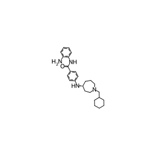 Nc1ccccc1NC(=O)c1ccc(N[C@H]2CCCN(CC3CCCCC3)CC2)cc1